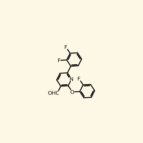 O=Cc1ccc(-c2cccc(F)c2F)nc1Oc1ccccc1F